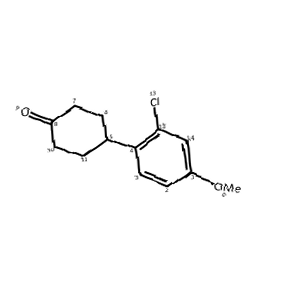 COc1ccc(C2CCC(=O)CC2)c(Cl)c1